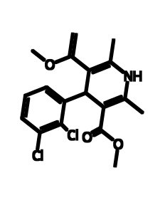 C=C(OC)C1=C(C)NC(C)=C(C(=O)OC)C1c1cccc(Cl)c1Cl